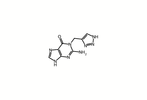 Nc1nc2[nH]cnc2c(=O)n1Cc1c[nH]nn1